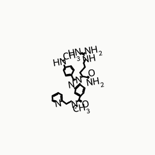 CNc1ccc(-c2nc3cc(C(=O)N(C)CCc4ccccn4)ccc3n2C(CCCNC(=N)N)C(N)=O)cc1